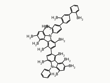 Bc1ccccc1-c1ccc(-c2ccc(-n3c4c(B)cc(B)c(B)c4c4c(B)c(-c5cc(B)c6c(c5B)c5c(B)c(B)cc(B)c5n6-c5ccccc5)cc(B)c43)c(B)c2)c(B)c1